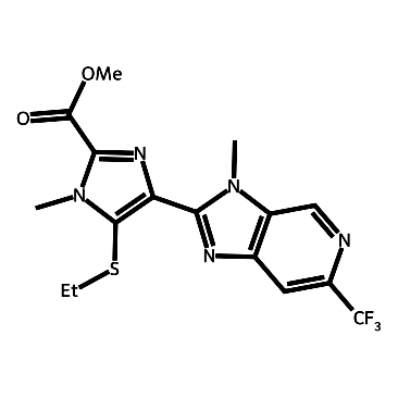 CCSc1c(-c2nc3cc(C(F)(F)F)ncc3n2C)nc(C(=O)OC)n1C